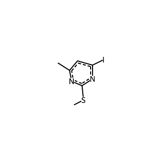 CSc1nc(C)cc(I)n1